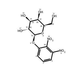 O=[N+]([O-])c1cccc(O[C@@H]2O[C@H](CO)[C@H](O)[C@H](O)[C@H]2O)c1[N+](=O)[O-]